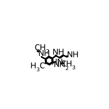 C=CNCc1cc(C(=N)/C(=C/C=N)NC)c(N)cc1C